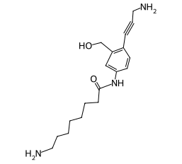 NCC#Cc1ccc(NC(=O)CCCCCCCN)cc1CO